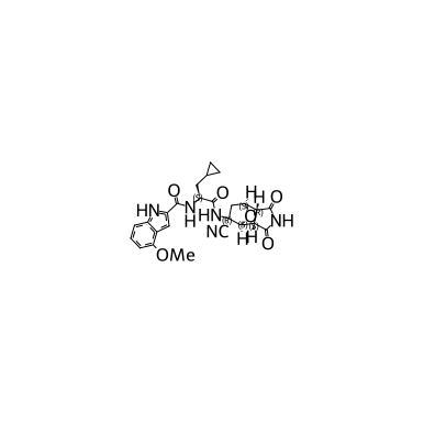 COc1cccc2[nH]c(C(=O)N[C@@H](CC3CC3)C(=O)N[C@@]3(C#N)C[C@@H]4O[C@H]3[C@H]3C(=O)NC(=O)[C@H]34)cc12